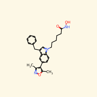 Cc1noc(C)c1-c1ccc2c(c1)c(Cc1ccccc1)cn2CCCCCC(=O)NO